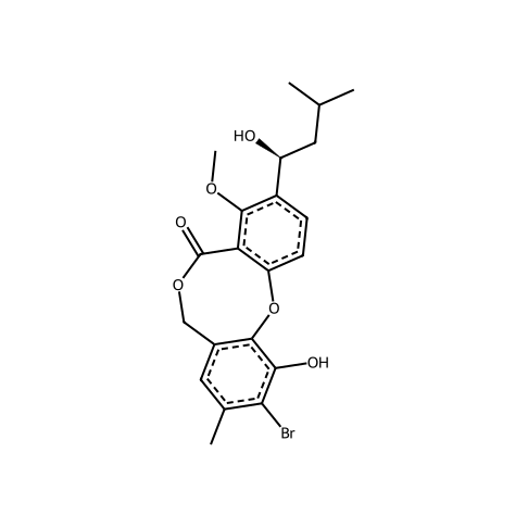 COc1c([C@@H](O)CC(C)C)ccc2c1C(=O)OCc1cc(C)c(Br)c(O)c1O2